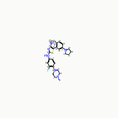 CN1CCN(c2ccc(Nc3nc(N)c(-c4cc(N5CCCC5)ccc4C=O)s3)cc2F)CC1